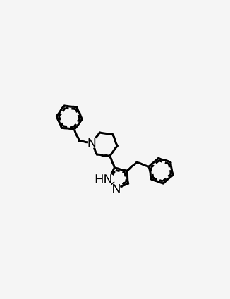 c1ccc(Cc2cn[nH]c2C2CCCN(Cc3ccccc3)C2)cc1